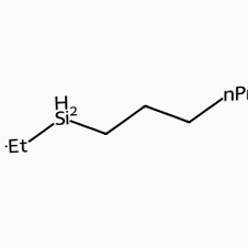 C[CH][SiH2]CCCCCC